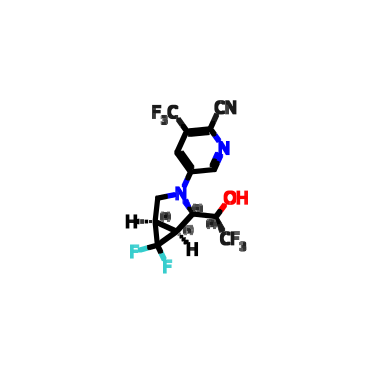 N#Cc1ncc(N2C[C@H]3[C@@H]([C@@H]2[C@@H](O)C(F)(F)F)C3(F)F)cc1C(F)(F)F